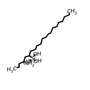 CCCCCCCCCCCCCCCC(CC(N)CCC)[Si](O)(O)O